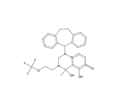 CC1(O)c2c(O)c(=O)ccn2N(C2c3ccccc3CCc3ccccc32)CN1CCOC(F)(F)F